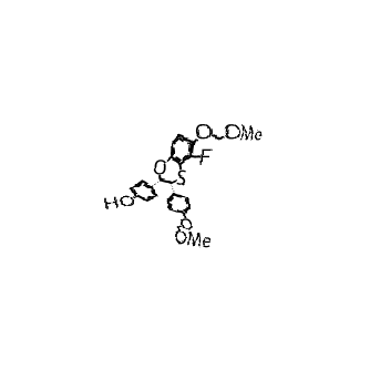 COCOc1ccc([C@H]2Sc3c(ccc(OCOC)c3F)O[C@H]2c2ccc(O)cc2)cc1